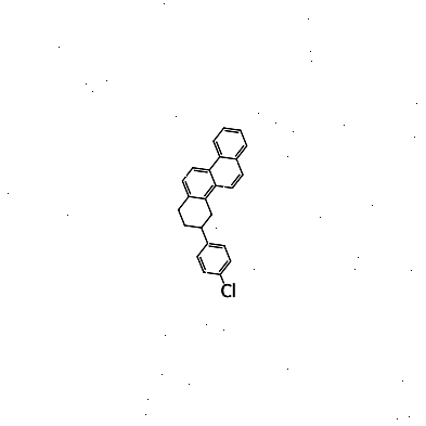 Clc1ccc(C2CCc3ccc4c(ccc5ccccc54)c3C2)cc1